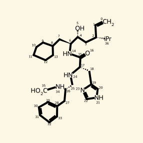 C=C[C@@H](C[C@@H](O)[C@H](CC1CCCCC1)NC(=O)[C@H](Cc1c[nH]cn1)NC[C@H](Cc1ccccc1)NC(=O)O)C(C)C